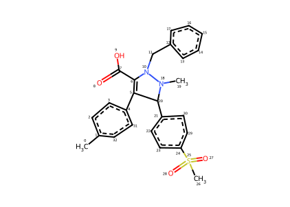 Cc1ccc(C2=C(C(=O)O)N(Cc3ccccc3)N(C)C2c2ccc(S(C)(=O)=O)cc2)cc1